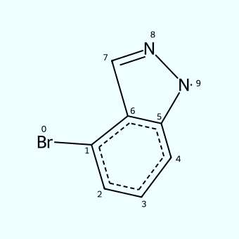 Brc1cccc2c1C=N[N]2